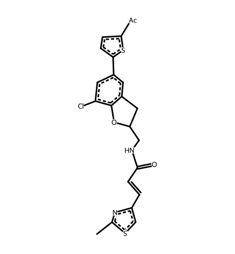 CC(=O)c1ccc(-c2cc(Cl)c3c(c2)CC(CNC(=O)C=Cc2csc(C)n2)O3)s1